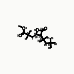 COC(=O)C(C)(C)C[C@H]1OC(=O)C1C(C)(C)CC(C)(C)C